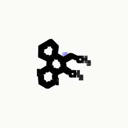 C=c1/c(=C\C)c2ccccc2c2nccnc12